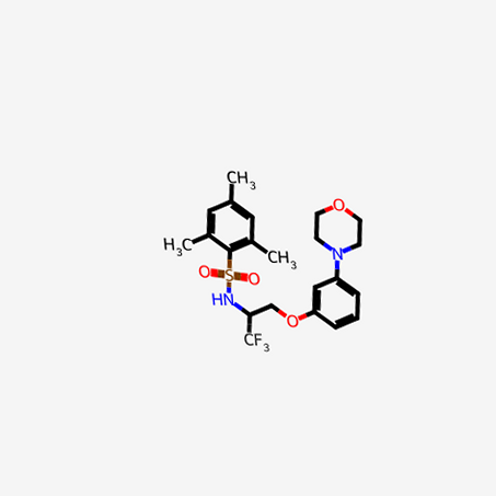 Cc1cc(C)c(S(=O)(=O)NC(COc2cccc(N3CCOCC3)c2)C(F)(F)F)c(C)c1